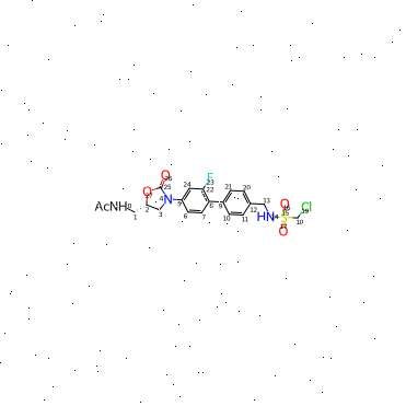 CC(=O)NC[C@H]1CN(c2ccc(-c3ccc(CNS(=O)(=O)CCl)cc3)c(F)c2)C(=O)O1